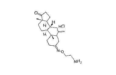 C=C1C[C@@H]2[C@H](CC[C@]3(C)C(=O)CC[C@@H]23)[C@@]2(C)CC/C(=N/OCCN)CC12.Cl